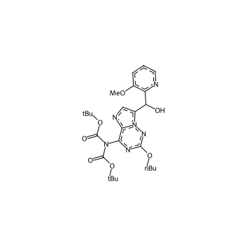 CCCCOc1nc(N(C(=O)OC(C)(C)C)C(=O)OC(C)(C)C)c2ncc(C(O)c3ncccc3OC)n2n1